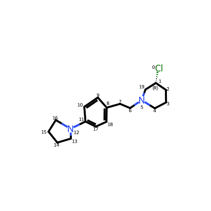 Cl[C@@H]1CCCN(CCc2ccc(N3CCCC3)cc2)C1